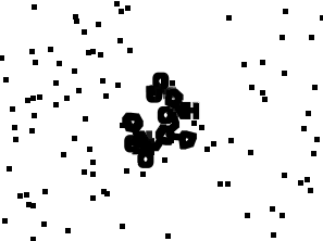 COC(=O)[C@H]1CC[C@H](NC(=O)Cc2ccc(CN3N=C(c4ccccc4)OCC3=O)cc2C2CCCC2)C1